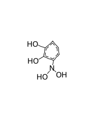 Oc1cccc(N(O)O)c1O